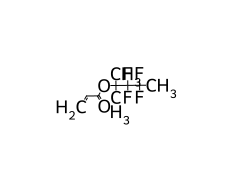 C=CC(=O)OC(C)(C)C(F)(F)C(C)(F)F